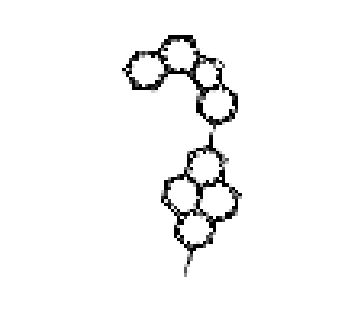 Fc1cc2ccc3cc(-c4ccc5sc6ccc7ccccc7c6c5c4)cc4ccc(c1)c2c34